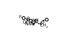 C=C(CCCS(=O)(=O)Nc1cc2oc(-c3ccc(F)cc3)c(C(=O)NC)c2cc1C1CC1)COCc1ccccc1